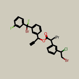 C#CC(OC(=O)C(c1cccc(C(Cl)CBr)c1)C(C)C)c1cccc(C(F)(Br)c2cccc(F)c2)c1